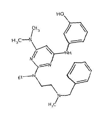 CCN(CCN(C)Cc1ccccc1)c1nc(Nc2cccc(O)c2)cc(N(C)C)n1